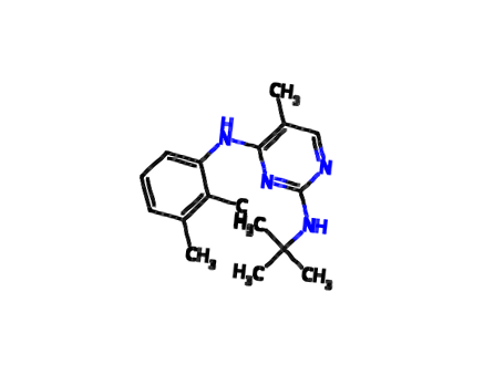 Cc1cnc(NC(C)(C)C)nc1Nc1cccc(C)c1C